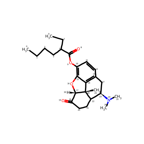 CCCCC(CC)C(=O)Oc1ccc2c3c1O[C@H]1C(=O)CCC([C@H](N(C)C)C2)[C@@]31C